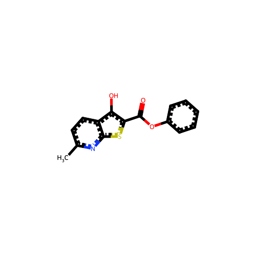 Cc1ccc2c(O)c(C(=O)Oc3ccccc3)sc2n1